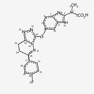 CN(C(=O)O)c1nc2ccc(Sc3nnc4n3N=C(c3ccc(F)cc3)CC4)cc2[nH]1